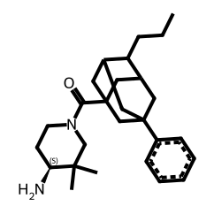 CCCC1C2CC3(C(=O)N4CC[C@H](N)C(C)(C)C4)CC1CC(c1ccccc1)(C2)C3